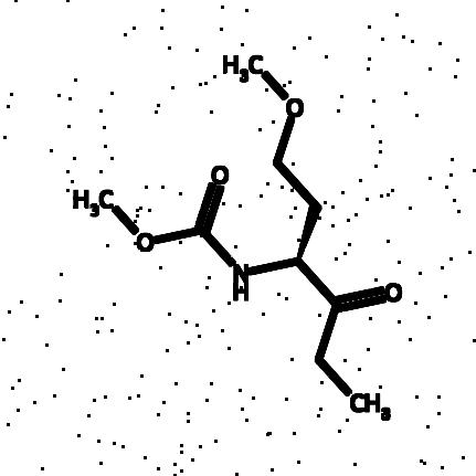 CCC(=O)[C@H](CCOC)NC(=O)OC